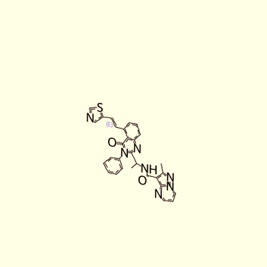 Cc1nn2cccnc2c1C(=O)NC(C)c1nc2cccc(/C=C/c3cncs3)c2c(=O)n1-c1ccccc1